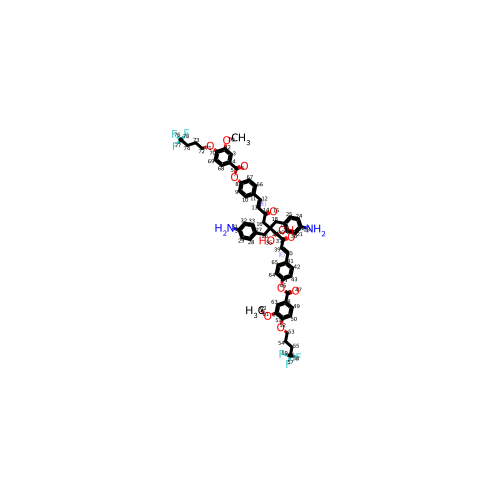 COc1cc(C(=O)Oc2ccc(/C=C/C(=O)CC(Cc3ccc(N)cc3)(Cc3ccc(N)cc3)C(O)(O)C(=O)/C=C/c3ccc(OC(=O)c4ccc(OCCCC(F)(F)F)c(OC)c4)cc3)cc2)ccc1OCCCC(F)(F)F